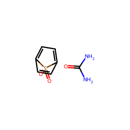 NC(N)=O.O=S1(=O)C2=CC=C1C=C2